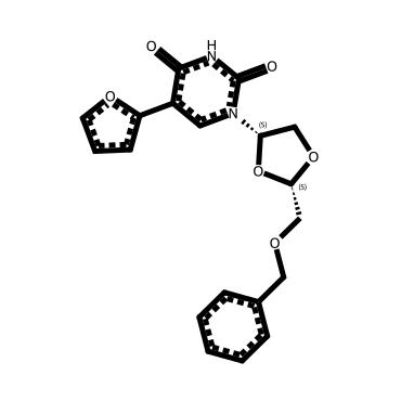 O=c1[nH]c(=O)n([C@@H]2CO[C@H](COCc3ccccc3)O2)cc1-c1ccco1